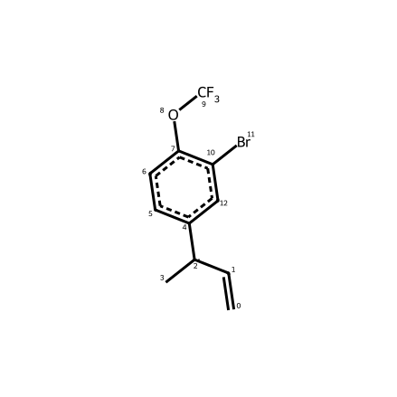 C=C[C](C)c1ccc(OC(F)(F)F)c(Br)c1